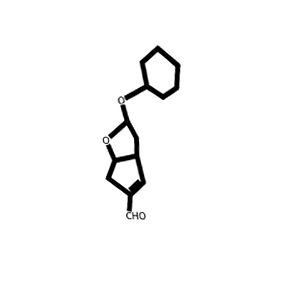 O=CC1=CC2CC(OC3CCCCC3)OC2C1